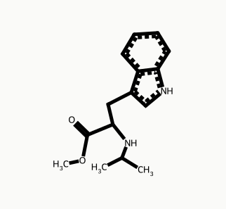 COC(=O)C(Cc1c[nH]c2ccccc12)NC(C)C